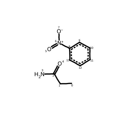 CCC(N)=O.O=[N+]([O-])c1ccccc1